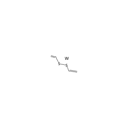 C=CSSC=C.[W]